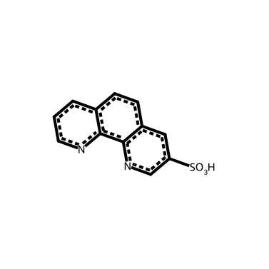 O=S(=O)(O)c1cnc2c(ccc3cccnc32)c1